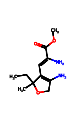 CCC1(C)OCC(N)=C1/C=C(\N)C(=O)OC